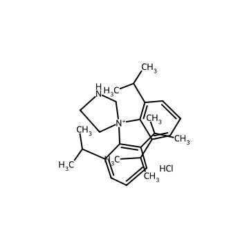 CC(C)c1cccc(C(C)C)c1[N+]1(c2c(C(C)C)cccc2C(C)C)CCNC1.Cl